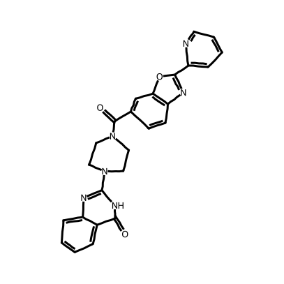 O=C(c1ccc2nc(-c3ccccn3)oc2c1)N1CCN(c2nc3ccccc3c(=O)[nH]2)CC1